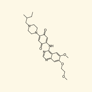 CCC(C)CN1CCN(C2=CC(=O)C(Nc3ncnc4cc(OCCOC)c(OC)cc34)=CC2=O)CC1